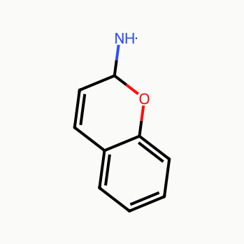 [NH]C1C=Cc2ccccc2O1